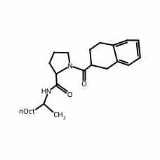 CCCCCCCCC(C)NC(=O)C1CCCN1C(=O)C1CCc2ccccc2C1